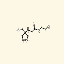 O=C(CNC(CO)(CO)CO)OCCCl